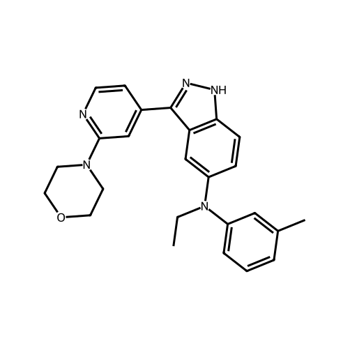 CCN(c1cccc(C)c1)c1ccc2[nH]nc(-c3ccnc(N4CCOCC4)c3)c2c1